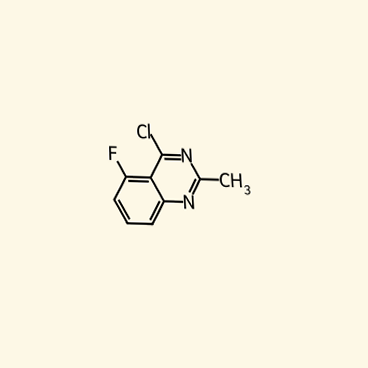 Cc1nc(Cl)c2c(F)cccc2n1